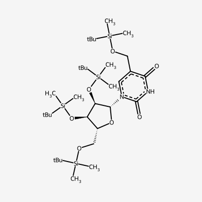 CC(C)(C)[Si](C)(C)OCc1cn([C@@H]2O[C@H](CO[Si](C)(C)C(C)(C)C)[C@@H](O[Si](C)(C)C(C)(C)C)[C@H]2O[Si](C)(C)C(C)(C)C)c(=O)[nH]c1=O